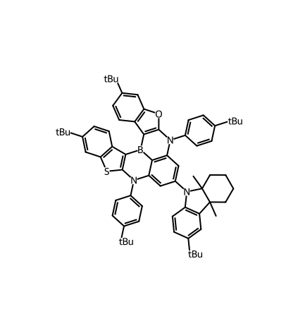 CC(C)(C)c1ccc(N2c3cc(N4c5ccc(C(C)(C)C)cc5C5(C)CCCCC45C)cc4c3B(c3c2oc2cc(C(C)(C)C)ccc32)c2c(sc3cc(C(C)(C)C)ccc23)N4c2ccc(C(C)(C)C)cc2)cc1